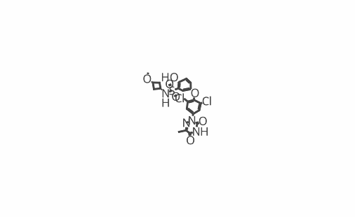 CO[C@H]1C[C@@H](NS(=O)(=O)c2cc(Oc3c(Cl)cc(-n4nc(C)c(=O)[nH]c4=O)cc3Cl)ccc2O)C1